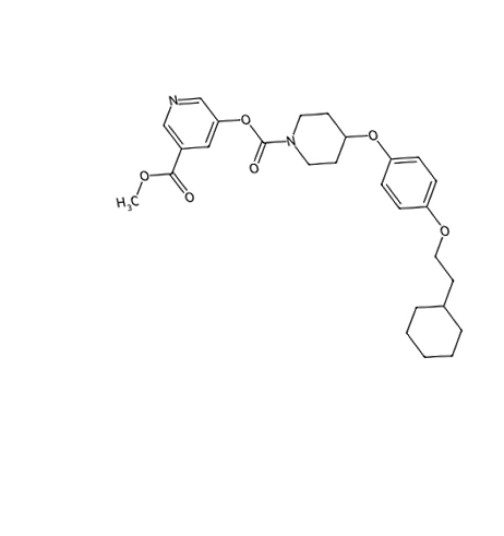 COC(=O)c1cncc(OC(=O)N2CCC(Oc3ccc(OCCC4CCCCC4)cc3)CC2)c1